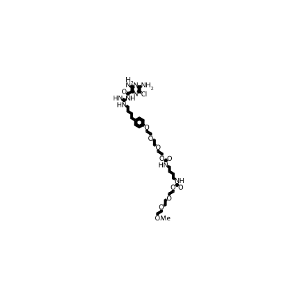 COCCOCCOCCOC(=O)NCCCCNC(=O)OCCOCCOCCOc1ccc(CCCCNC(=N)NC(=O)c2nc(Cl)c(N)nc2N)cc1